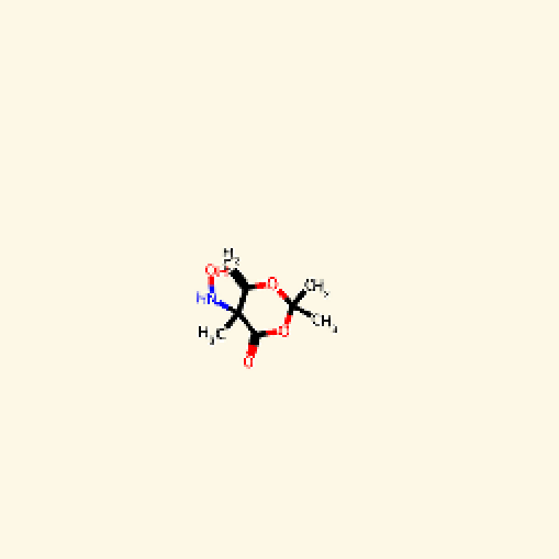 C=C1OC(C)(C)OC(=O)C1(C)NO